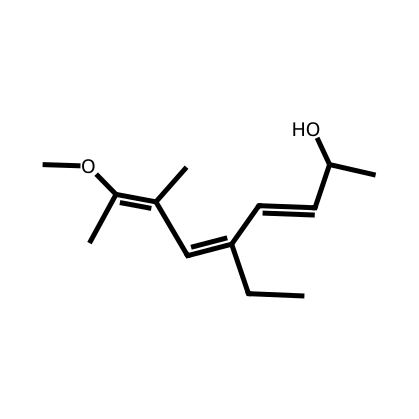 CC/C(C=CC(C)O)=C/C(C)=C(\C)OC